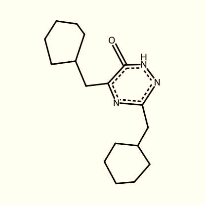 O=c1[nH]nc(CC2CCCCC2)nc1CC1CCCCC1